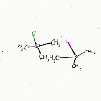 C[Si](C)(C)Cl.C[Si](C)(C)I